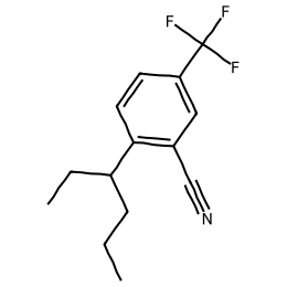 CCCC(CC)c1ccc(C(F)(F)F)cc1C#N